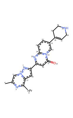 CCCc1nc(C)cn2nc(-c3cc(=O)n4cc(C5=CCNCC5)ccc4n3)cc12